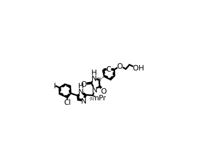 CCC[C@@H](c1ncc(-c2ccc(I)cc2Cl)[nH]1)N1C(=O)N[C@H](c2ccc(OCCO)cc2)C1=O